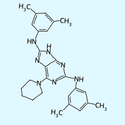 Cc1cc(C)cc(Nc2nc(N3CCCCC3)c3nc(Nc4cc(C)cc(C)c4)[nH]c3n2)c1